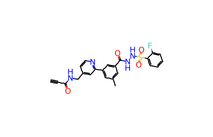 C#CC(=O)NCc1ccnc(-c2cc(C)cc(C(=O)NNS(=O)(=O)c3ccccc3F)c2)c1